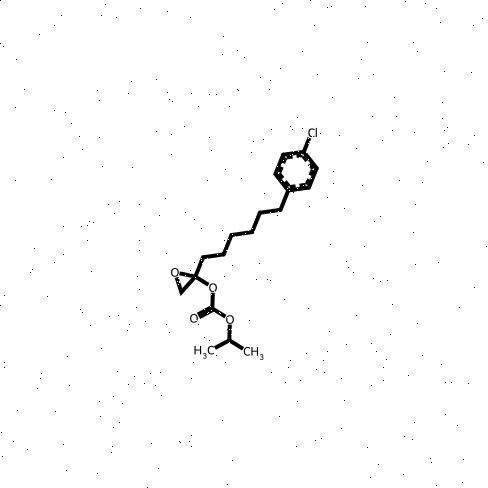 CC(C)OC(=O)OC1(CCCCCCc2ccc(Cl)cc2)CO1